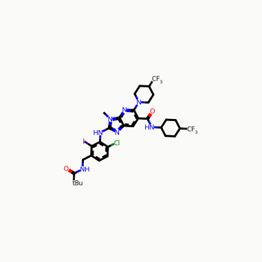 Cn1c(Nc2c(Cl)ccc(CNC(=O)C(C)(C)C)c2I)nc2cc(C(=O)NC3CCC(C(F)(F)F)CC3)c(N3CCC(C(F)(F)F)CC3)nc21